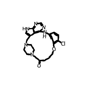 O=C1CCCOc2cc(ccc2Cl)Nc2ncnc3[nH]cc(c23)CN2CCN1CC2